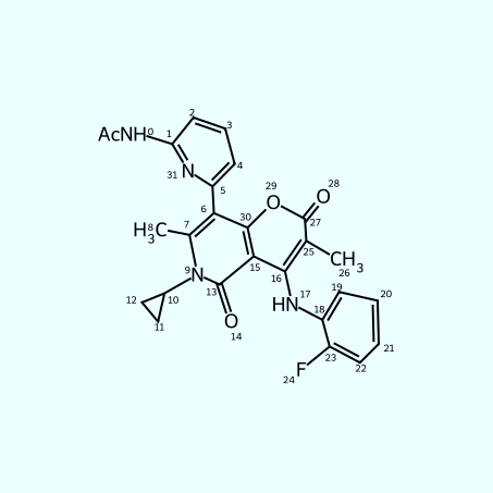 CC(=O)Nc1cccc(-c2c(C)n(C3CC3)c(=O)c3c(Nc4ccccc4F)c(C)c(=O)oc23)n1